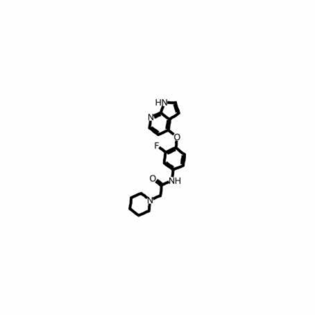 O=C(CN1CCCCC1)Nc1ccc(Oc2ccnc3[nH]ccc23)c(F)c1